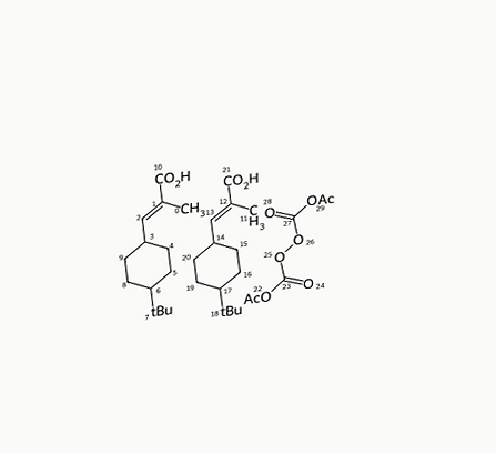 CC(=CC1CCC(C(C)(C)C)CC1)C(=O)O.CC(=CC1CCC(C(C)(C)C)CC1)C(=O)O.CC(=O)OC(=O)OOC(=O)OC(C)=O